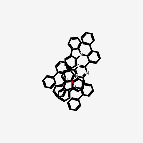 c1ccc(-c2cccc(-c3nc(-c4cccc(-c5ccccc5)c4-n4c5ccccc5c5ccccc54)nc(-c4cccc(-c5ccccc5)c4-n4c5ccccc5c5ccccc54)n3)c2-n2c3ccccc3c3ccccc32)cc1